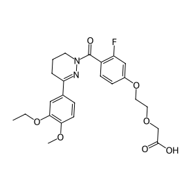 CCOc1cc(C2=NN(C(=O)c3ccc(OCCOCC(=O)O)cc3F)CCC2)ccc1OC